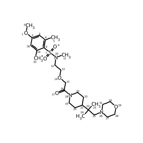 COc1cc(C)c(S(=O)(=O)N(C)CCOCC(=O)N2CCC(C(C)(C)CN3CCOCC3)CC2)c(C)c1